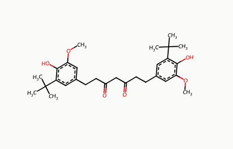 COc1cc(CCC(=O)CC(=O)CCc2cc(OC)c(O)c(C(C)(C)C)c2)cc(C(C)(C)C)c1O